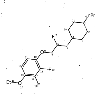 CCCC1CCC(CC(F)COc2ccc(OCC)c(F)c2F)CC1